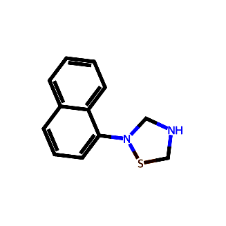 c1ccc2c(N3CNCS3)cccc2c1